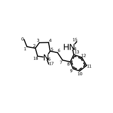 CCC1CCC(CCc2ccccc2NC)N(C)C1